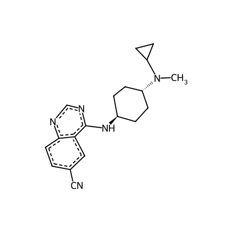 CN(C1CC1)[C@H]1CC[C@H](Nc2ncnc3ccc(C#N)cc23)CC1